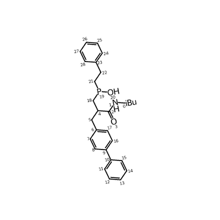 CCC(C)NC(=O)C(Cc1ccc(-c2ccccc2)cc1)CP(O)CCc1ccccc1